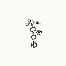 CC(C)[C@H]1COC(=O)N1c1ccnc(N[C@@H](C)c2cccc(-n3cccn3)c2)n1